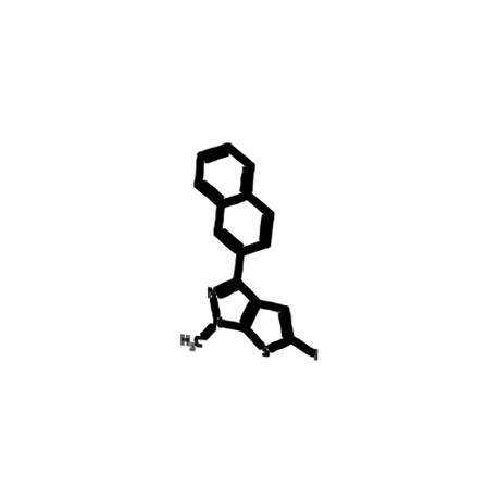 Cn1nc(-c2ccc3ccccc3c2)c2cc(I)sc21